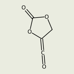 O=C=C1COC(=O)O1